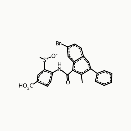 Cc1c(-c2ccccc2)cc2ccc(Br)cc2c1C(=O)Nc1ccc(C(=O)O)cc1[S+](C)[O-]